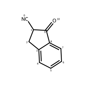 N#CC1Cc2ccccc2C1=O